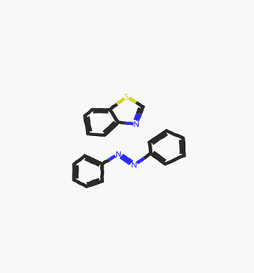 c1ccc(N=Nc2ccccc2)cc1.c1ccc2scnc2c1